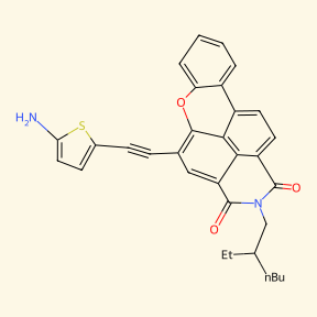 CCCCC(CC)Cn1c(=O)c2ccc3c4ccccc4oc4c(C#Cc5ccc(N)s5)cc(c1=O)c2c43